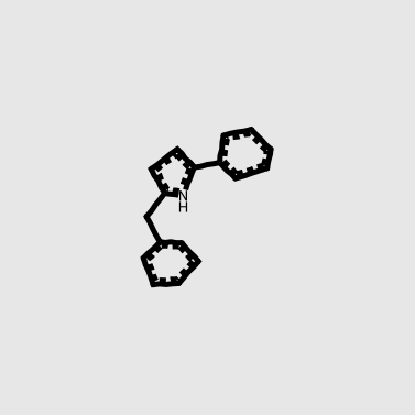 c1ccc(Cc2ccc(-c3ccccc3)[nH]2)cc1